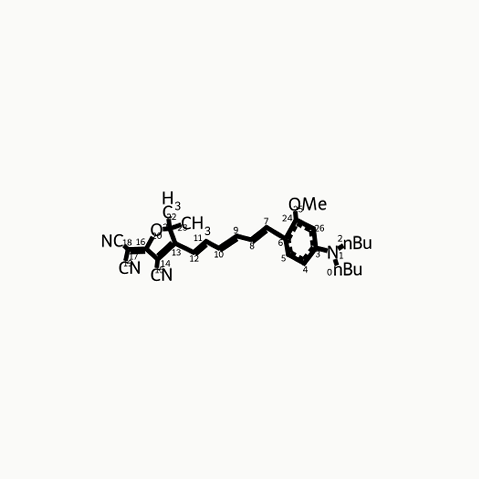 CCCCN(CCCC)c1ccc(/C=C/C=C/C=C/C2=C(C#N)C(=C(C#N)C#N)OC2(C)C)c(OC)c1